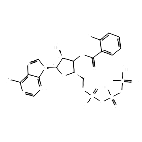 Nc1ccccc1C(=O)OC1[C@@H](COP(=O)(O)OP(=O)(O)OP(=O)(O)O)O[C@@H](n2cnc3c(N)ncnc32)[C@H]1O